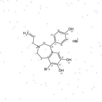 Br.C=CCN1CCc2c(cc(O)c(O)c2Br)C(c2ccc(O)cc2)C1